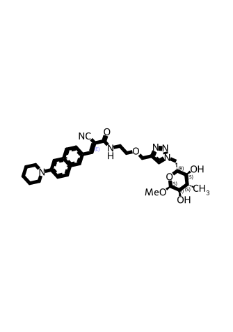 CO[C@H]1O[C@H](Cn2cc(COCCNC(=O)/C(C#N)=C/c3ccc4cc(N5CCCCC5)ccc4c3)nn2)[C@@H](O)[C@H](C)[C@H]1O